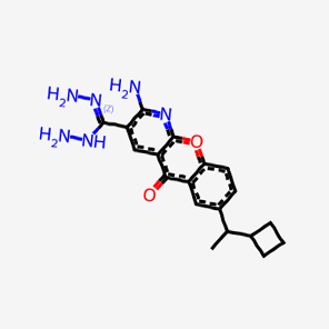 CC(c1ccc2oc3nc(N)c(/C(=N/N)NN)cc3c(=O)c2c1)C1CCC1